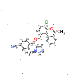 CC(=O)c1ccccc1-c1cc(Cl)ccc1COC(c1ccc(C#N)cc1)c1cncn1C